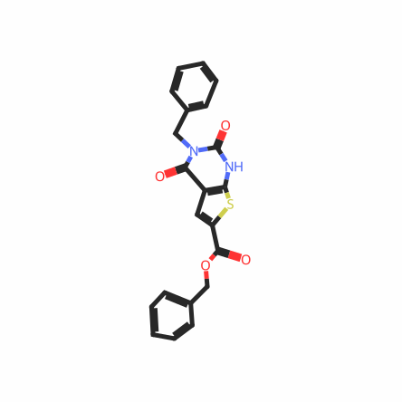 O=C(OCc1ccccc1)c1cc2c(=O)n(Cc3ccccc3)c(=O)[nH]c2s1